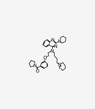 O=C(c1cccc(OCCN(CCCCN2CCCCC2)c2nc(N3CCCCC3)nc3ccccc23)c1)N1CCCC1